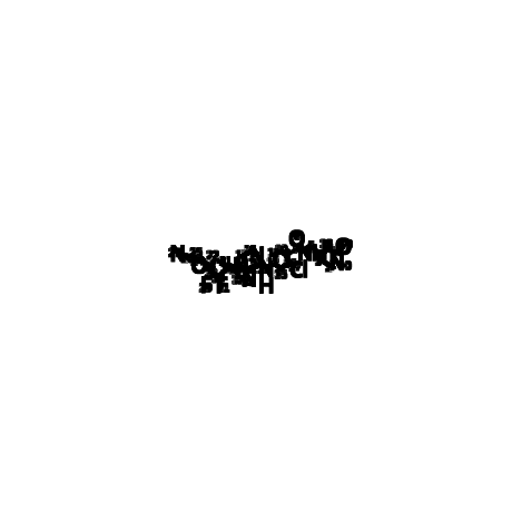 Cn1ccc(CNC(=O)c2ccc(Nc3nccn4c(-c5ccc(OCC#N)c(F)c5F)cnc34)cc2Cl)cc1=O